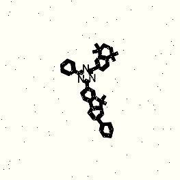 CC1(C)CCC(C)(C)c2cc(-c3nc(-c4ccccc4)nc(-c4ccc5c(c4)C(C)(C)c4cc(-c6ccccc6)ccc4-5)n3)ccc21